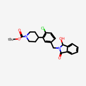 CC(C)(C)OC(=O)N1CCC(c2cc(CN3C(=O)c4ccccc4C3O)ccc2Cl)CC1